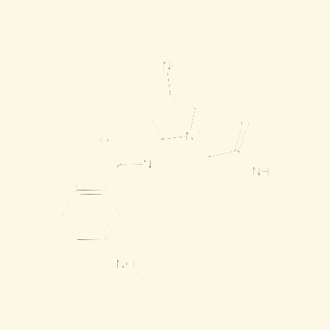 NC(=O)Cn1cc([N+](=O)[O-])sc1=NC(=O)c1cccc([N+](=O)[O-])c1